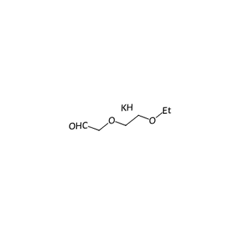 CCOCCOCC=O.[KH]